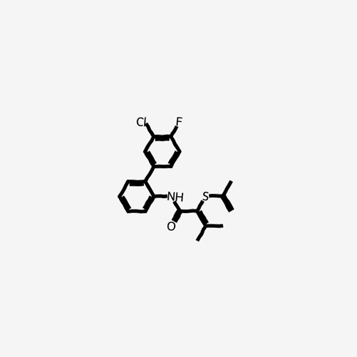 C=C(C)SC(C(=O)Nc1ccccc1-c1ccc(F)c(Cl)c1)=C(C)C